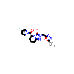 O=C([C@@H]1CCCc2nn(Cc3nnc(C(F)(F)F)o3)c(=O)n21)N1CC[C@H](F)C1